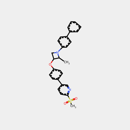 CC1C(Oc2ccc(-c3ccc(S(C)(=O)=O)nc3)cc2)CN1c1ccc(-c2ccccc2)cc1